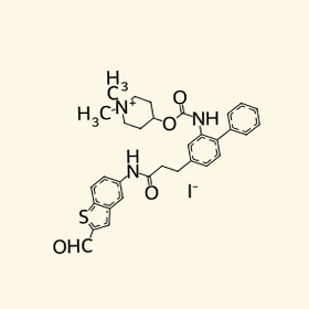 C[N+]1(C)CCC(OC(=O)Nc2cc(CCC(=O)Nc3ccc4sc(C=O)cc4c3)ccc2-c2ccccc2)CC1.[I-]